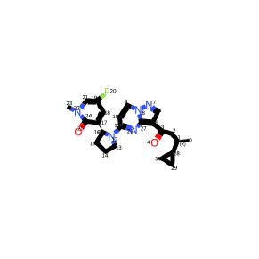 C[C@H](CC(=O)c1cnn2ccc(N3CCC[C@@H]3c3cc(F)cn(C)c3=O)nc12)C1CC1